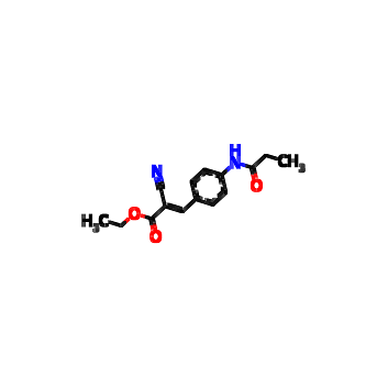 CCOC(=O)/C(C#N)=C/c1ccc(NC(=O)CC)cc1